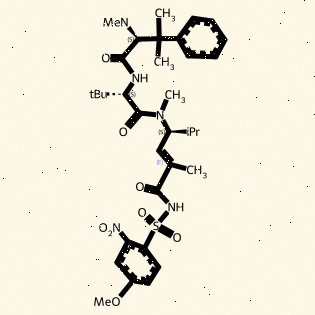 CN[C@H](C(=O)N[C@H](C(=O)N(C)[C@H](/C=C(\C)C(=O)NS(=O)(=O)c1ccc(OC)cc1[N+](=O)[O-])C(C)C)C(C)(C)C)C(C)(C)c1ccccc1